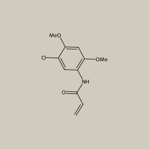 C=CC(=O)Nc1cc(Cl)c(OC)cc1OC